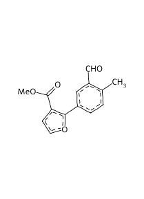 COC(=O)c1ccoc1-c1ccc(C)c(C=O)c1